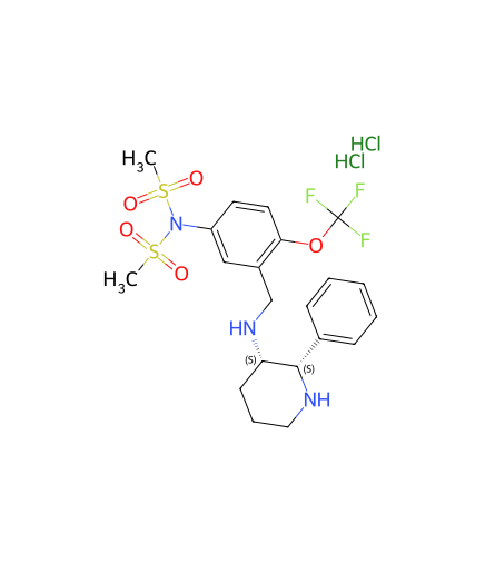 CS(=O)(=O)N(c1ccc(OC(F)(F)F)c(CN[C@H]2CCCN[C@H]2c2ccccc2)c1)S(C)(=O)=O.Cl.Cl